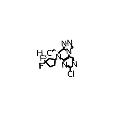 CC[C@@H]1c2nncn2-c2cnc(Cl)nc2N1C1CCC(F)(F)C1